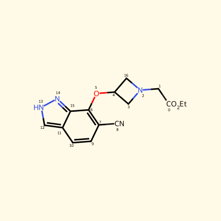 CCOC(=O)CN1CC(Oc2c(C#N)ccc3c[nH]nc23)C1